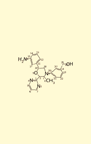 CC1C(c2ncccn2)OC(c2cccc(N)c2)CN1c1cccc(CO)c1